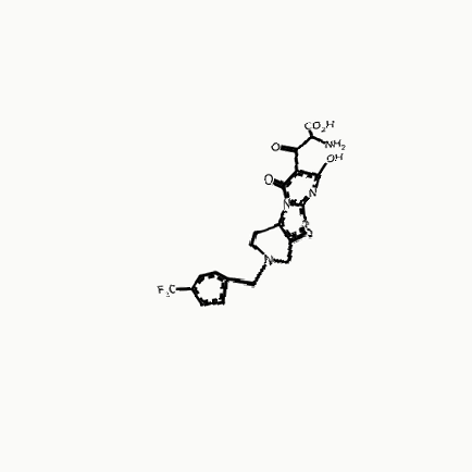 NC(C(=O)O)C(=O)c1c(O)nc2sc3c(n2c1=O)CCN(Cc1ccc(C(F)(F)F)cc1)C3